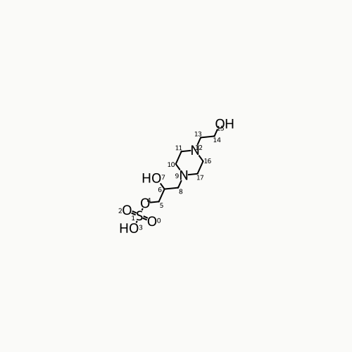 O=S(=O)(O)OCC(O)CN1CCN(CCO)CC1